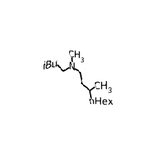 CCCCCCC(C)CCN(C)CC(C)CC